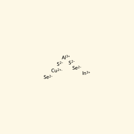 [Al+3].[Cu+2].[In+3].[S-2].[S-2].[Se-2].[Se-2]